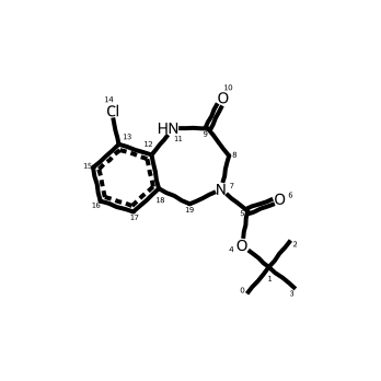 CC(C)(C)OC(=O)N1CC(=O)Nc2c(Cl)cccc2C1